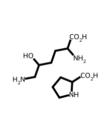 NCC(O)CCC(N)C(=O)O.O=C(O)C1CCCN1